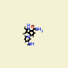 CN[C@@H]1CCCN(c2ccc(C(N)=O)c3[nH]c(C)c(C)c23)C1